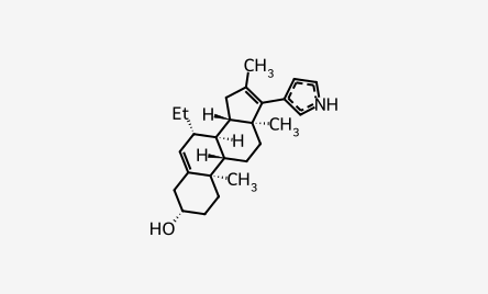 CC[C@H]1C=C2C[C@@H](O)CC[C@]2(C)[C@H]2CC[C@]3(C)C(c4cc[nH]c4)=C(C)C[C@H]3[C@H]12